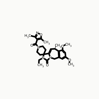 CCN1C(=O)N2Cc3cc(OC)cc(OC)c3[C@@H](C)C=C2C12CCN(C(=O)c1c(C)noc1C)CC2